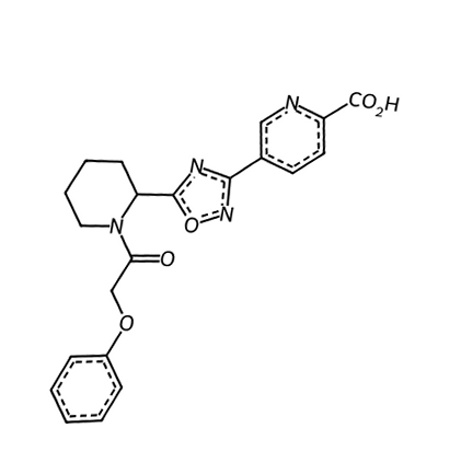 O=C(O)c1ccc(-c2noc(C3CCCCN3C(=O)COc3ccccc3)n2)cn1